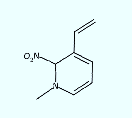 C=CC1=CC=CN(C)C1[N+](=O)[O-]